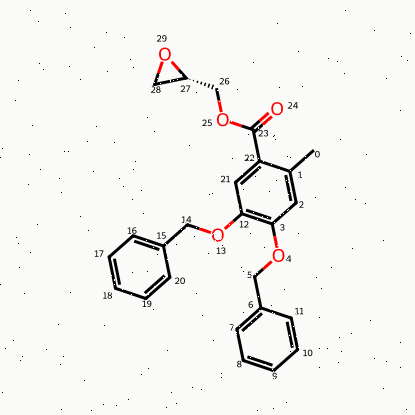 Cc1cc(OCc2ccccc2)c(OCc2ccccc2)cc1C(=O)OC[C@@H]1CO1